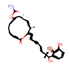 C[C@@H]1/C=C/[C@@H](C)C(/C=C/C#C/C=C/C(C)(C)C(O)c2cccc(O)c2Br)OC(=O)/C=C\CCC[C@H](OC(N)=O)C1